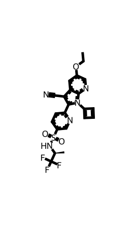 CCOc1cnc2c(c1)c(C#N)c(-c1ccc(S(=O)(=O)N[C@@H](C)C(F)(F)F)cn1)n2C1=CC=C1